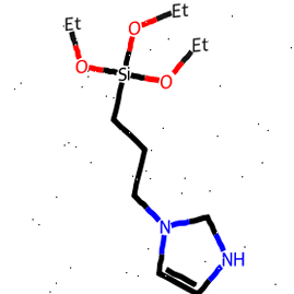 CCO[Si](CCCN1C=CNC1)(OCC)OCC